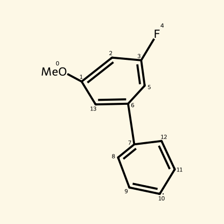 COc1cc(F)cc(-c2cc[c]cc2)c1